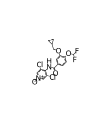 O=C(Nc1c(Cl)c[n+]([O-])cc1Cl)c1ccc(OC(F)F)c(OCC2CC2)c1